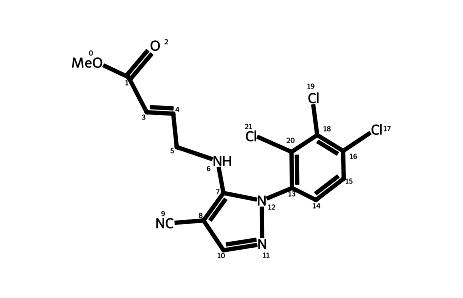 COC(=O)C=CCNc1c(C#N)cnn1-c1ccc(Cl)c(Cl)c1Cl